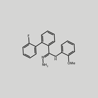 COc1ccccc1N/C(=N\N)c1ccccc1-c1ccccc1F